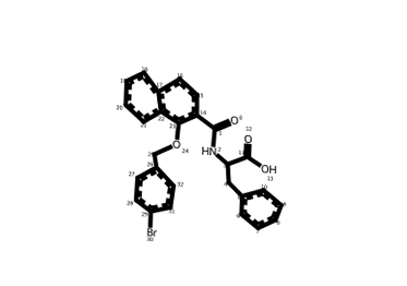 O=C(NC(Cc1ccccc1)C(=O)O)c1ccc2ccccc2c1OCc1ccc(Br)cc1